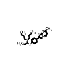 CCCCN(CCCC)C(CC)Oc1ccc(-c2cn3ccc(C)nc3n2)cc1